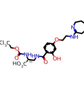 O=C(N[C@@H](CNC(=O)c1ccc(OCCNC2=NCCCCC2)cc1O)C(=O)O)OCC(Cl)(Cl)Cl